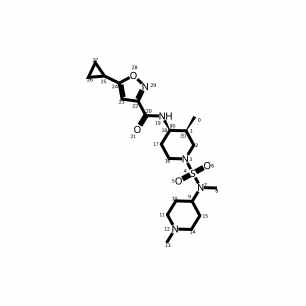 C[C@H]1CN(S(=O)(=O)N(C)C2CCN(C)CC2)CC[C@H]1NC(=O)c1cc(C2CC2)on1